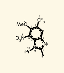 COc1c(C(F)(F)F)cc2nc(C)n(C(C)C)c2c1[N+](=O)[O-]